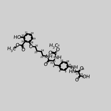 COC(=O)N[C@@H](Cc1ccc(NNC(=O)C(=O)O)cc1)C(=O)NCCCCOc1cccc(O)c1C(=O)OC